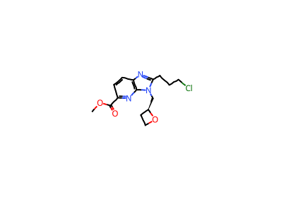 COC(=O)c1ccc2nc(CCCCl)n(C[C@@H]3CCO3)c2n1